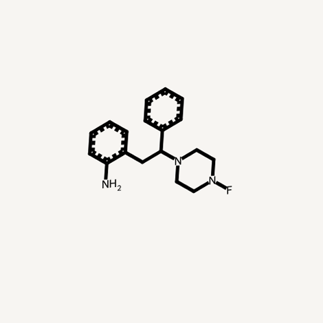 Nc1ccccc1CC(c1ccccc1)N1CCN(F)CC1